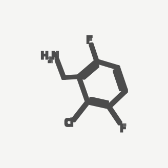 NCc1c(F)ccc(F)c1Cl